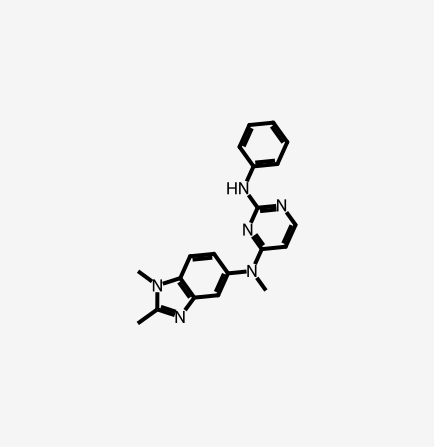 Cc1nc2cc(N(C)c3ccnc(Nc4ccccc4)n3)ccc2n1C